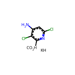 Nc1cc(Cl)nc(C(=O)O)c1Cl.[KH]